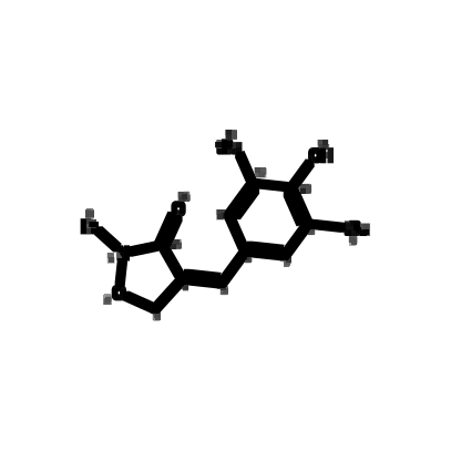 CCN1OCC(=Cc2cc(C(C)(C)C)c(O)c(C(C)(C)C)c2)C1=O